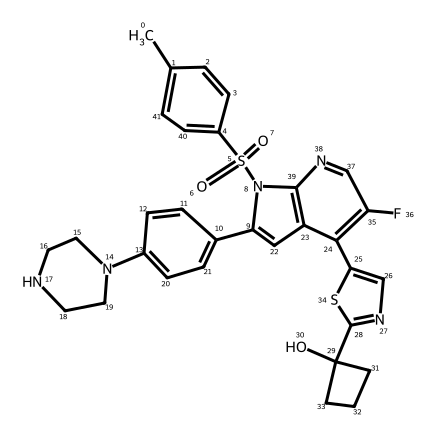 Cc1ccc(S(=O)(=O)n2c(-c3ccc(N4CCNCC4)cc3)cc3c(-c4cnc(C5(O)CCC5)s4)c(F)cnc32)cc1